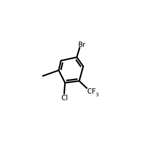 Cc1cc(Br)cc(C(F)(F)F)c1Cl